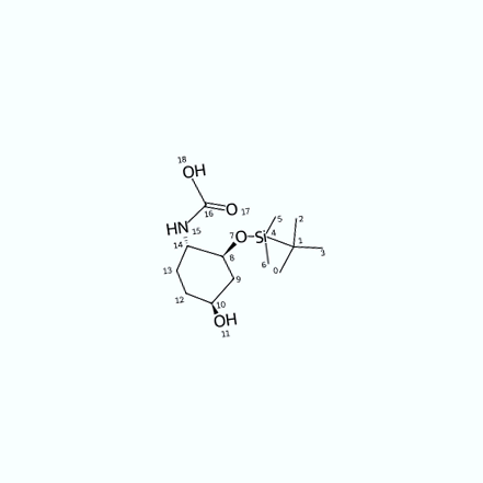 CC(C)(C)[Si](C)(C)O[C@H]1C[C@@H](O)CC[C@@H]1NC(=O)O